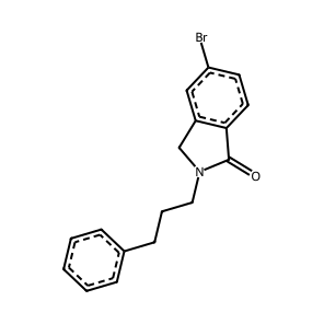 O=C1c2ccc(Br)cc2CN1CCCc1ccccc1